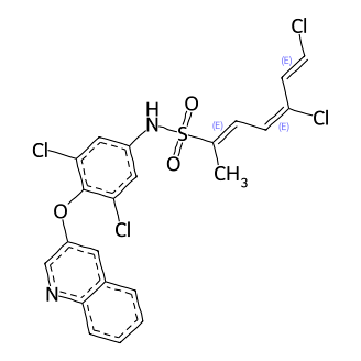 C\C(=C/C=C(Cl)\C=C\Cl)S(=O)(=O)Nc1cc(Cl)c(Oc2cnc3ccccc3c2)c(Cl)c1